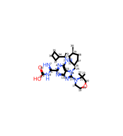 C[C@@H](Nc1nc(C(=N)NC(=O)O)nc2nc(N3CCOCC3(C)C)n(C[C@H]3CC[C@H](C)CC3)c12)C1CCC1